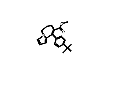 COC(=O)C1=C(c2ccc(C(C)(C)C)cc2)c2cccn2CCC1